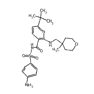 CC1(CNc2nc(C(C)(C)C)ccc2C(=O)NS(=O)(=O)c2ccc(N)cc2)CCOCC1